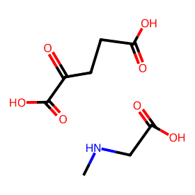 CNCC(=O)O.O=C(O)CCC(=O)C(=O)O